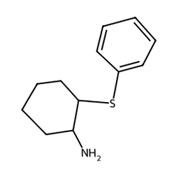 NC1CCCCC1Sc1ccccc1